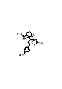 C=CC1C=CC=CC1(O)C(CCc1ccc(N)cc1)C(C)(C)OC(N)=O